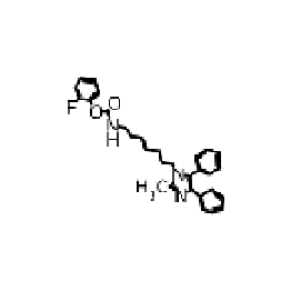 Cc1nc(-c2ccccc2)c(-c2ccccc2)n1CCCCCCCNC(=O)Oc1ccccc1F